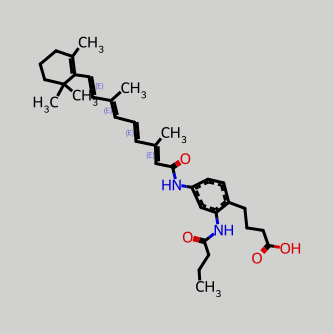 CCCC(=O)Nc1cc(NC(=O)/C=C(C)/C=C/C=C(C)/C=C/C2=C(C)CCCC2(C)C)ccc1CCCC(=O)O